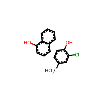 O=C(O)c1ccc(O)c(Cl)c1.Oc1cccc2ccccc12